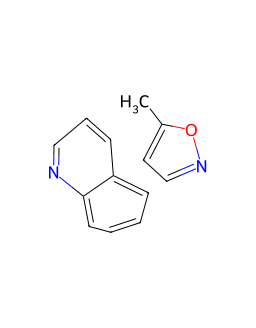 Cc1ccno1.c1ccc2ncccc2c1